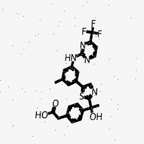 Cc1cc(Nc2nccc(C(F)(F)F)n2)cc(-c2cnc(C(C)(O)c3ccc(CC(=O)O)cc3)s2)c1